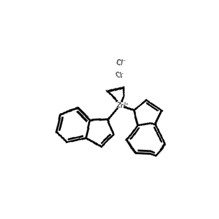 C1=C[CH]([Zr+2]2([CH]3C=Cc4ccccc43)[CH2][CH2]2)c2ccccc21.[Cl-].[Cl-]